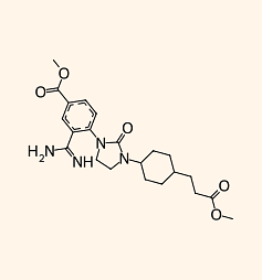 COC(=O)CCC1CCC(N2CCN(c3ccc(C(=O)OC)cc3C(=N)N)C2=O)CC1